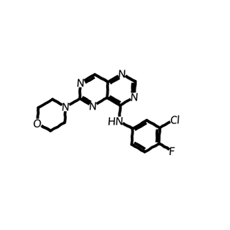 Fc1ccc(Nc2ncnc3cnc(N4CCOCC4)nc23)cc1Cl